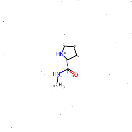 CNC(=O)[C@H]1CCCN1